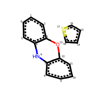 c1ccc2c(c1)Nc1ccccc1O2.c1ccsc1